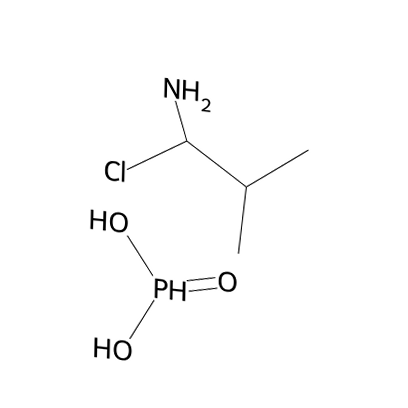 CC(C)C(N)Cl.O=[PH](O)O